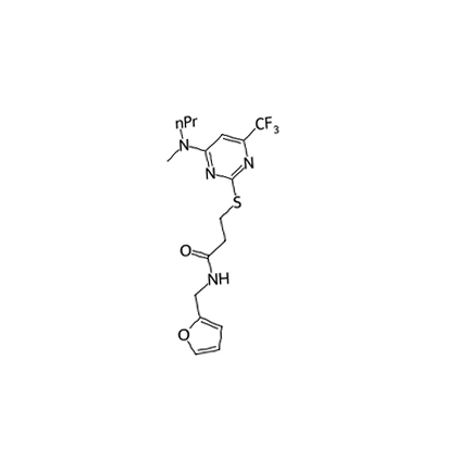 CCCN(C)c1cc(C(F)(F)F)nc(SCCC(=O)NCc2ccco2)n1